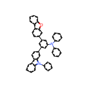 c1ccc(N(c2ccccc2)c2cc(-c3ccc4c(c3)oc3ccccc34)cc(-c3ccc4c5ccccc5n(-c5ccccc5)c4c3)c2)cc1